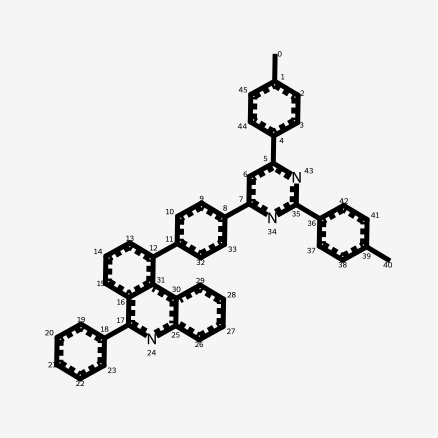 Cc1ccc(-c2cc(-c3ccc(-c4cccc5c(-c6ccccc6)nc6ccccc6c45)cc3)nc(-c3ccc(C)cc3)n2)cc1